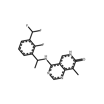 Cc1c(=O)[nH]cc2c(NC(C)c3cccc(C(F)F)c3F)ncnc12